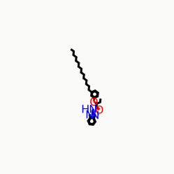 CCCCCCCCCCCCCCCc1cccc(OC(CC)C(=O)Nc2nc3ccccc3n2C)c1